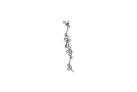 C=CC(=O)OCCCCCCOc1ccc(C(=O)Oc2ccc(-c3ccc(OC(=O)c4ccc(OCCCCCCOC(=O)C=C)cc4F)cc3F)c(F)c2)c(F)c1